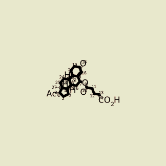 CC(=O)[C@H]1CC[C@H]2[C@@H]3CC(OC(=O)CCCC(=O)O)C4=CC(=O)CC[C@]4(C)[C@H]3CC[C@]12C